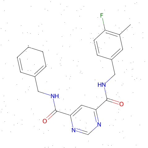 Cc1cc(CNC(=O)c2cc(C(=O)NCC3=CC[CH]C=C3)ncn2)ccc1F